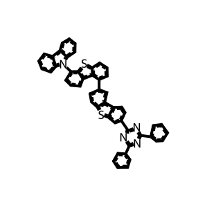 c1ccc(-c2nc(-c3ccccc3)nc(-c3ccc4c(c3)sc3ccc(-c5cccc6sc7c(-n8c9ccccc9c9ccccc98)cccc7c56)cc34)n2)cc1